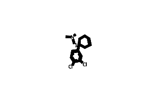 CN(C)C[C@@]1(c2ccc(Cl)c(Cl)c2)CC=CCC1